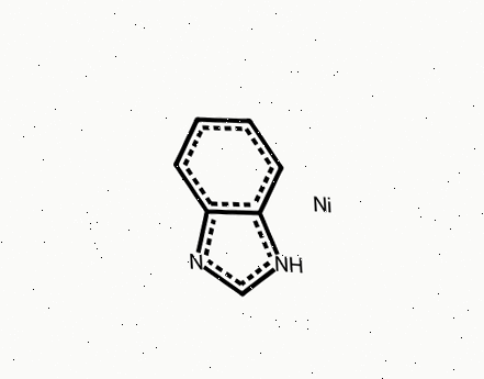 [Ni].c1ccc2[nH]cnc2c1